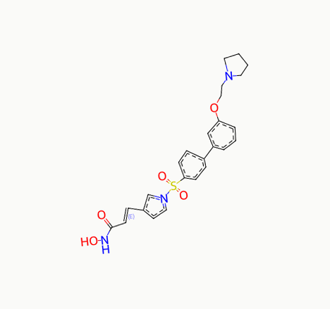 O=C(/C=C/c1ccn(S(=O)(=O)c2ccc(-c3cccc(OCCN4CCCC4)c3)cc2)c1)NO